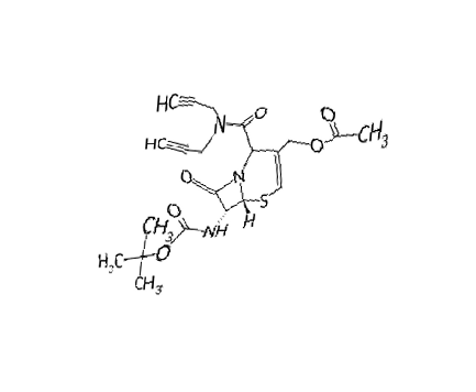 C#CCN(CC#C)C(=O)C1C(COC(C)=O)=CS[C@@H]2[C@H](NC(=O)OC(C)(C)C)C(=O)N12